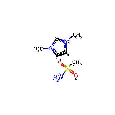 CS(N)(=O)=O.Cn1cc[n+](C)c1